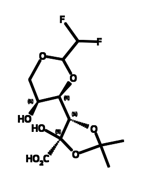 CC1(C)O[C@@H]([C@@H]2OC(C(F)F)OC[C@@H]2O)[C@@](O)(C(=O)O)O1